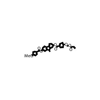 C=CC(=O)OCOc1ccc(C(=O)Oc2ccc3c(c2)C(C)c2cc(OC(=O)c4ccc(OC)cc4)ccc2-3)cc1